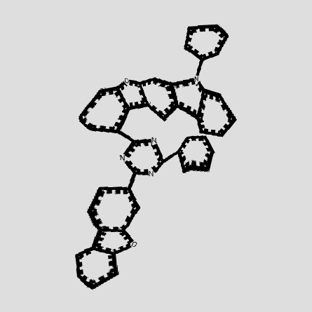 c1ccc(-c2nc(-c3ccc4c(c3)oc3ccccc34)nc(-c3cccc4oc5cc6c(cc5c34)c3ccccc3n6-c3ccccc3)n2)cc1